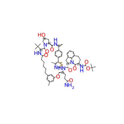 Cc1cc(CCCCCC(=O)N[C@H](C(=O)N2C[C@H](O)C[C@H]2C(=O)N[C@@H](C)c2ccc(-c3scnc3C)cc2)C(C)(C)C)cc(OC[C@H](CCC(N)=O)NC(=O)[C@@H]2Cc3cccc4c3N2C(=O)[C@@H](NC(=O)OC(C)(C)C)CC4)c1